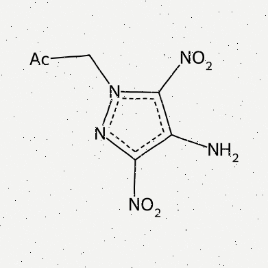 CC(=O)Cn1nc([N+](=O)[O-])c(N)c1[N+](=O)[O-]